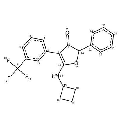 O=C1C(c2cccc(C(F)(F)F)c2)=C(NC2CCC2)OC1c1ccccc1